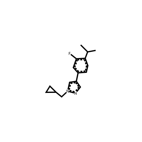 CC(C)c1ccc(-c2cnn(CC3CC3)c2)cc1F